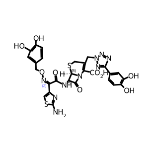 Nc1nc(/C(=N/OCc2ccc(O)c(O)c2)C(=O)N[C@@H]2C(=O)N3C(C(=O)O)=C(Cn4nnc(-c5ccc(O)c(O)c5)n4)CS[C@H]23)cs1